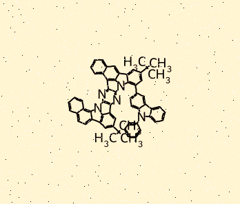 CC(C)(C)c1cc(-c2ccc3c(c2)c2ccccc2n3-c2ccccc2)c2c(c1)c1cc3ccccc3c3c4nc5c(nc4n2c13)c1cc(C(C)(C)C)cc2c3ccc4ccccc4c3n5c21